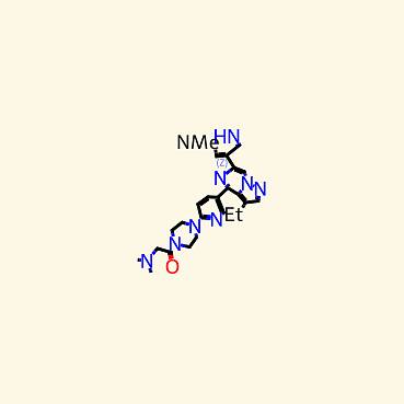 CCc1cnn2cc(/C(C=N)=C/NC)nc(-c3ccc(N4CCN(C(=O)CN(C)C)CC4)nc3)c12